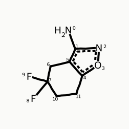 Nc1noc2c1CC(F)(F)CC2